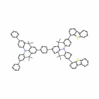 CC1(C)c2cc(-c3ccccc3)ccc2N2c3ccc(-c4ccccc4)cc3C(C)(C)c3cc(-c4ccc(-c5cc6c7c(c5)C(C)(C)c5cc(-c8cccc9c8sc8ccccc89)ccc5N7c5ccc(-c7cccc8c7sc7ccccc78)cc5C6(C)C)cc4)cc1c32